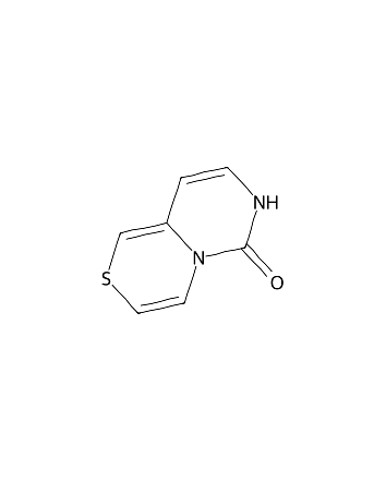 O=C1NC=CC2=CSC=CN12